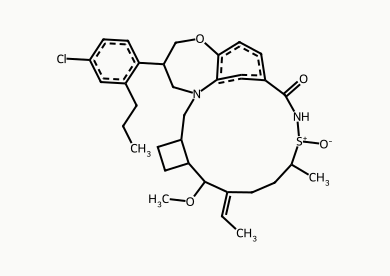 C/C=C1\CCC(C)[S+]([O-])NC(=O)c2ccc3c(c2)N(CC(c2ccc(Cl)cc2CCC)CO3)CC2CCC2C1OC